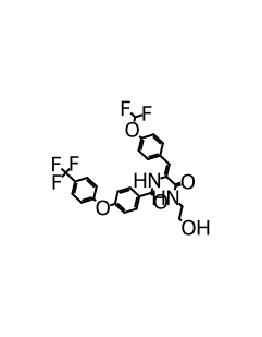 O=C(NCCO)C(=Cc1ccc(OC(F)F)cc1)NC(=O)c1ccc(Oc2ccc(C(F)(F)F)cc2)cc1